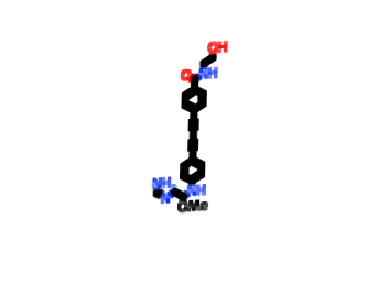 COC(C/N=C\N)Nc1ccc(C#CC#Cc2ccc(C(=O)NCCO)cc2)cc1